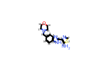 Nc1scnc1-c1nc2cc(CN3CCOCC3)ccc2[nH]1